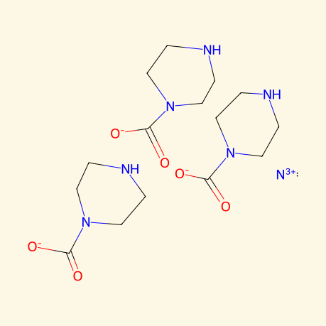 O=C([O-])N1CCNCC1.O=C([O-])N1CCNCC1.O=C([O-])N1CCNCC1.[N+3]